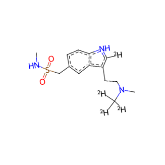 [2H]c1[nH]c2ccc(CS(=O)(=O)NC)cc2c1CCN(C)C([2H])([2H])[2H]